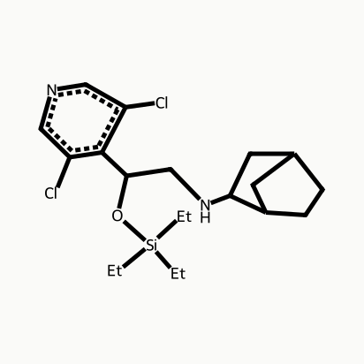 CC[Si](CC)(CC)OC(CNC1CC2CCC1C2)c1c(Cl)cncc1Cl